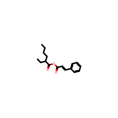 CCCCC(CC)C(=O)OC(=O)C=Cc1ccccc1